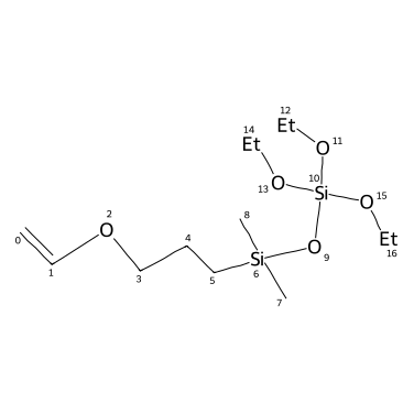 C=COCCC[Si](C)(C)O[Si](OCC)(OCC)OCC